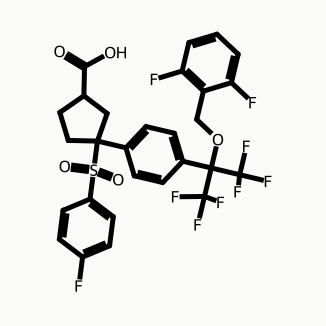 O=C(O)C1CCC(c2ccc(C(OCc3c(F)cccc3F)(C(F)(F)F)C(F)(F)F)cc2)(S(=O)(=O)c2ccc(F)cc2)C1